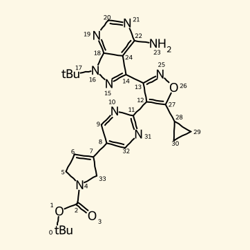 CC(C)(C)OC(=O)N1CC=C(c2cnc(-c3c(-c4nn(C(C)(C)C)c5ncnc(N)c45)noc3C3CC3)nc2)C1